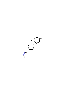 C/C=C\NC1CCN(C2(C)CCC(C)CC2)CC1